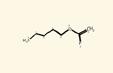 C=C(F)OCCCCC